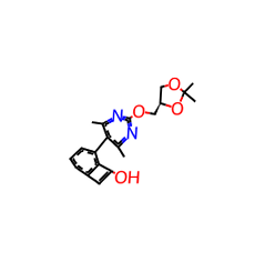 Cc1nc(OC[C@H]2COC(C)(C)O2)nc(C)c1-c1cccc2c1C(O)=C2